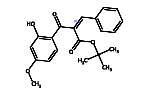 COc1ccc(C(=O)/C(=C/c2ccccc2)C(=O)OC(C)(C)C)c(O)c1